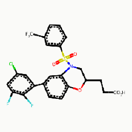 O=C(O)CCC1CN(S(=O)(=O)c2cccc(C(F)(F)F)c2)c2cc(-c3cc(Cl)cc(F)c3F)ccc2O1